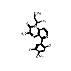 COCC(C)n1c(=O)c(C)nc2c(-c3cc(F)c(OC)cc3Cl)nccc21